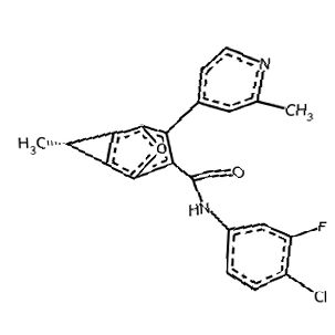 Cc1cc(-c2c(C(=O)Nc3ccc(Cl)c(F)c3)c3oc2c2c3[C@@H]2C)ccn1